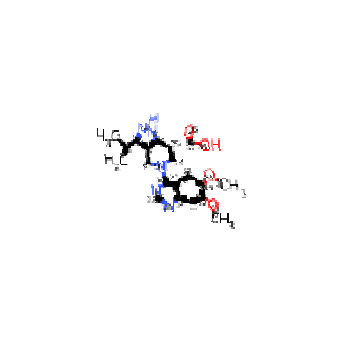 C=C(C)c1n[nH]c2c1CN(c1ncnc3cc(OC)c(OC)cc13)CC2.O=CO